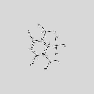 CC(C)c1c(F)cc(F)c(C(C)C)c1C(C)(C)C